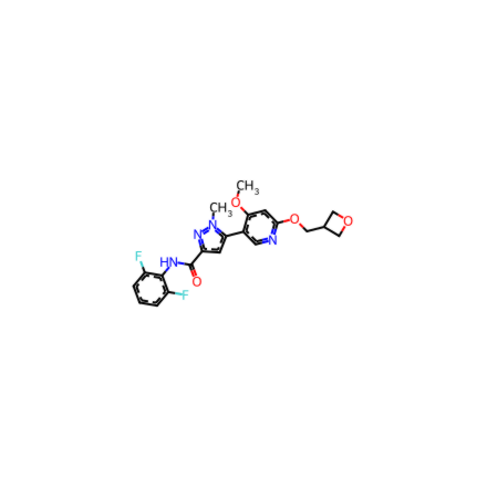 COc1cc(OCC2COC2)ncc1-c1cc(C(=O)Nc2c(F)cccc2F)nn1C